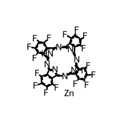 Fc1c(F)c(F)c2c(c1F)-c1nc-2nc2[nH]c(nc3nc(nc4[nH]c(n1)c1c(F)c(F)c(F)c(F)c41)-c1c(F)c(F)c(F)c(F)c1-3)c1c(F)c(F)c(F)c(F)c21.[Zn]